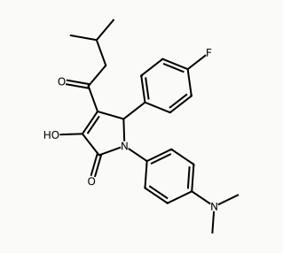 CC(C)CC(=O)C1=C(O)C(=O)N(c2ccc(N(C)C)cc2)C1c1ccc(F)cc1